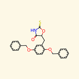 O=C1NC(=S)OC1Cc1cc(OCc2ccccc2)ccc1OCc1ccccc1